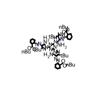 CCCCOC(=O)c1ccccc1/N=N/C(C(=N)C(C)(C)C)=C(\N)Nc1nc(-n2nc(C(C)(C)C)c(/N=N/c3ccccc3C(=O)OCCCC)c2N)nc(-n2nc(C(C)(C)C)c(/N=N/c3ccccc3C(=O)OCCCC)c2N)n1